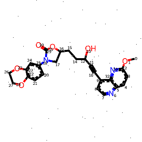 COc1ccc2nccc(C#CC(O)CCC3CN(c4ccc5c(c4)OCCO5)C(=O)O3)c2n1